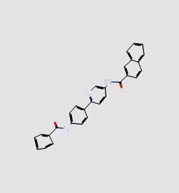 O=C(Nc1ccc(-c2ccc(NC(=O)c3ccc4ccccc4c3)cn2)cc1)c1ccccc1